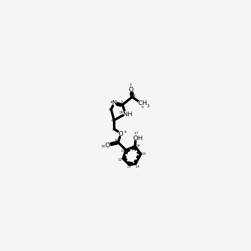 CC(=O)C1=NCC(COC(=O)c2ccccc2O)N1